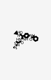 CN(C)c1nc(C(=O)Nc2[nH]c3cc(NC(=O)C4(C)CCCCC4)ccc3c2C(=O)NC2CC2)cs1